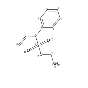 C=CC(c1ccccc1)S(=O)(=O)OCN